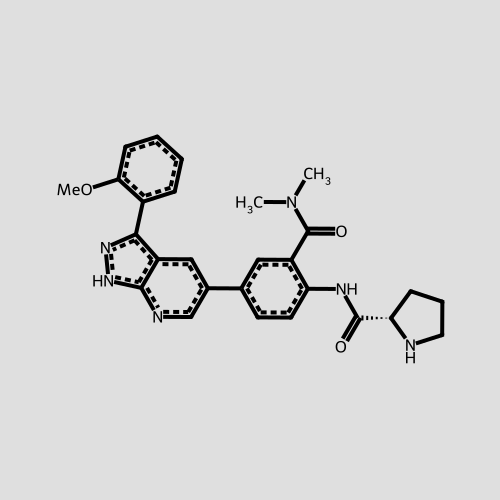 COc1ccccc1-c1n[nH]c2ncc(-c3ccc(NC(=O)[C@@H]4CCCN4)c(C(=O)N(C)C)c3)cc12